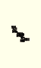 NCCNCCNNC(=O)OCC(O)O